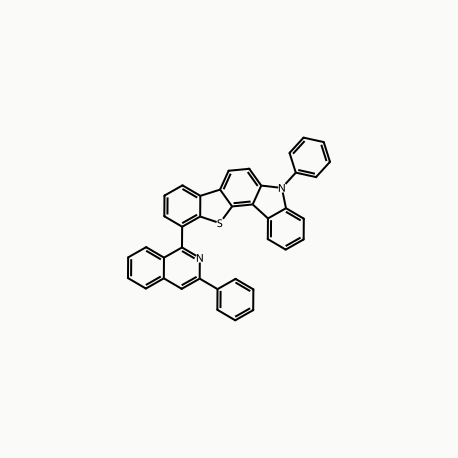 c1ccc(-c2cc3ccccc3c(-c3cccc4c3sc3c4ccc4c3c3ccccc3n4-c3ccccc3)n2)cc1